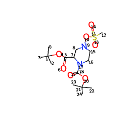 CC(C)(C)OC(=O)C1CN(OS(C)(=O)=O)CCN1C(=O)OC(C)(C)C